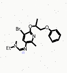 CCN(C)/C=N\c1cc(Br)c(OC(C)COc2ccccc2)nc1C